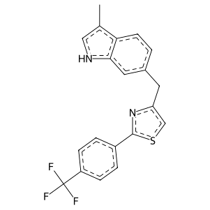 Cc1c[nH]c2cc(Cc3csc(-c4ccc(C(F)(F)F)cc4)n3)ccc12